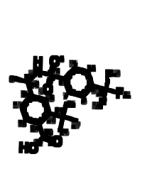 C[C@@H](NS(=O)(=O)c1ccc(C(F)(F)F)cc1)c1ccc(C(=O)O)c(C(C)(C)C)c1